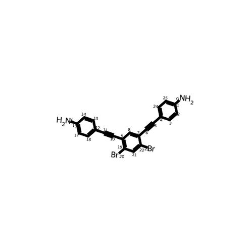 Nc1ccc(C#Cc2cc(C#Cc3ccc(N)cc3)c(Br)cc2Br)cc1